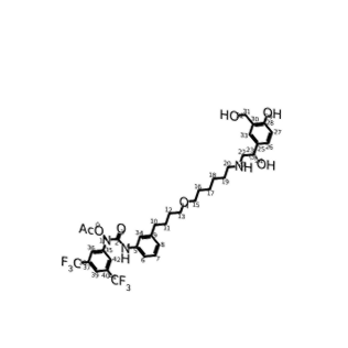 CC(=O)ON(C(=O)Nc1cccc(CCCCOCCCCCCNC[C@@H](O)c2ccc(O)c(CO)c2)c1)c1cc(C(F)(F)F)cc(C(F)(F)F)c1